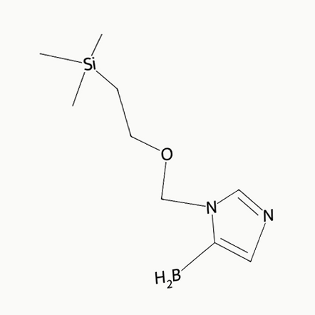 Bc1cncn1COCC[Si](C)(C)C